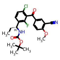 CC[C@@H](NC(=O)OC(C)(C)C)c1ccc(Cl)c(C(=O)c2ccc(OC)c(C#N)c2)c1F